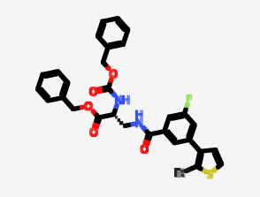 CCc1sccc1-c1cc(F)cc(C(=O)NC[C@@H](NC(=O)OCc2ccccc2)C(=O)OCc2ccccc2)c1